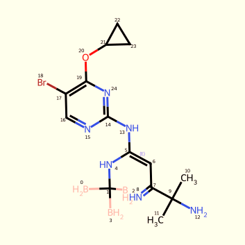 BC(B)(B)N/C(=C\C(=N)C(C)(C)N)Nc1ncc(Br)c(OC2CC2)n1